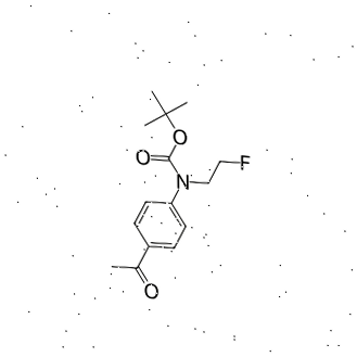 CC(=O)c1ccc(N(CCF)C(=O)OC(C)(C)C)cc1